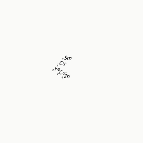 [Co].[Cu].[Fe].[Sm].[Zn]